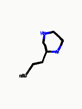 CCCCCCC1CNCC[N]1